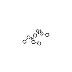 CN(c1ccc(-c2ccccc2)cc1)c1ccc(N(c2cccc(-c3ccccc3)c2)c2cccc(-c3ccccc3)c2)cc1